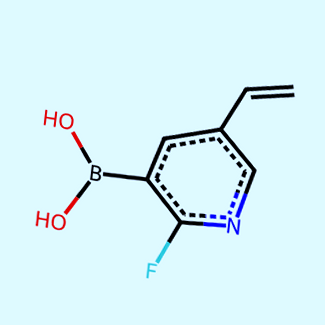 C=Cc1cnc(F)c(B(O)O)c1